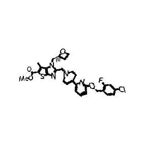 COC(=O)c1sc2nc(CN3CC=C(c4cccc(OCc5ccc(Cl)cc5F)n4)CC3)n(C[C@@H]3CCO3)c2c1C